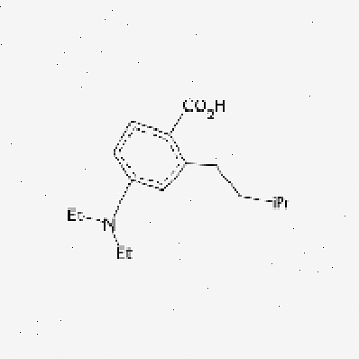 CCN(CC)c1ccc(C(=O)O)c(CCC(C)C)c1